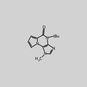 Cn1cnc2c1n1cccc1c(=O)n2C(C)(C)C